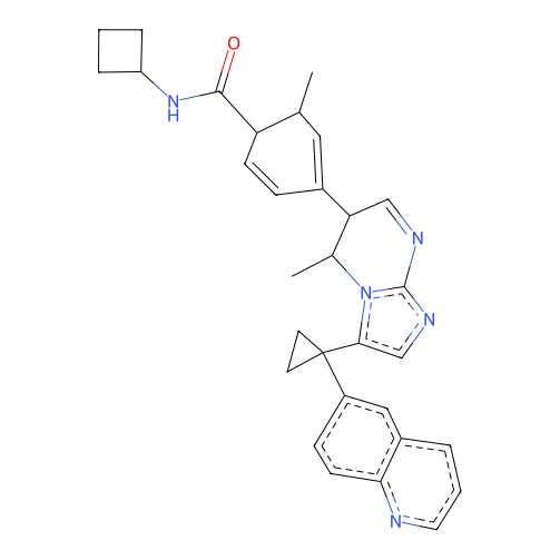 CC1C=C(C2C=Nc3ncc(C4(c5ccc6ncccc6c5)CC4)n3C2C)C=CC1C(=O)NC1CCC1